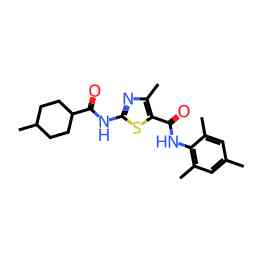 Cc1cc(C)c(NC(=O)c2sc(NC(=O)C3CCC(C)CC3)nc2C)c(C)c1